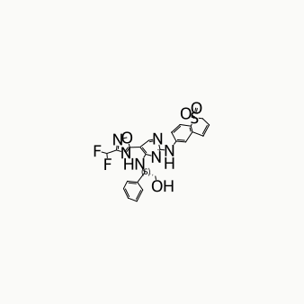 O=S1(=O)CC=Cc2cc(Nc3ncc(-c4nc(C(F)F)no4)c(N[C@H](CO)c4ccccc4)n3)ccc21